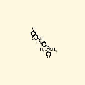 C[N+](C)(Cc1ccc(NC(=O)C2=Cc3cc(Cl)ccc3OC2)cc1)C1CCOCC1.[I-]